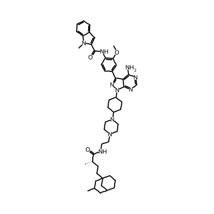 COc1cc(-c2nn(C3CCC(N4CCN(CCNC(=O)[C@@H](C)CCC56CCCC(CC(C)C5)C6)CC4)CC3)c3ncnc(N)c23)ccc1NC(=O)c1cc2ccccc2n1C